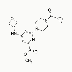 COC(=O)c1cc(NC2COC2)nc(N2CCN(C(=O)C3CC3)CC2)n1